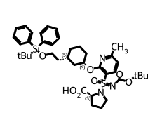 Cc1ccc([S@](=O)(=NC(=O)OC(C)(C)C)N2CCC[C@H]2C(=O)O)c(O[C@H]2CCC[C@@H](CCO[Si](c3ccccc3)(c3ccccc3)C(C)(C)C)C2)n1